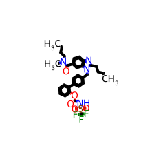 CCCCc1nc2ccc(C(=O)N(C)CCCC)cc2n1Cc1ccc(-c2ccccc2OC(=O)NS(=O)(=O)C(F)(F)F)cc1